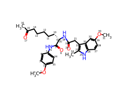 COc1ccc(NC(=O)[C@H](CCCCCC(C)=O)NC(=O)Cc2c(C)[nH]c3ccc(OC)cc23)cc1